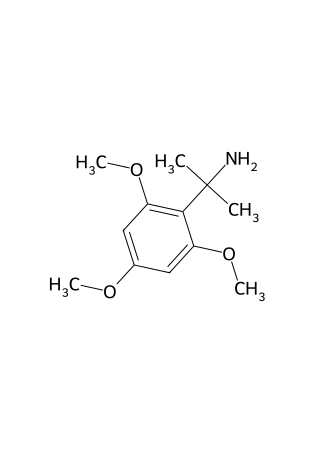 COc1cc(OC)c(C(C)(C)N)c(OC)c1